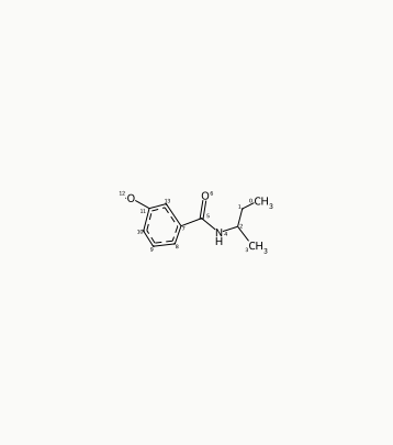 CCC(C)NC(=O)c1cccc([O])c1